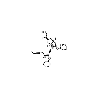 CCC#CC[C@H](C)[C@@H](C#C[C@@H]1[C@H]2CC(=C(F)CO)C[C@H]2C[C@H]1OC1CCCCO1)OC1CCCCO1